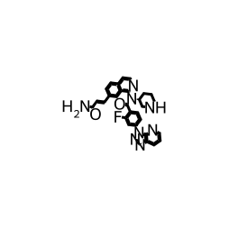 NC(=O)/C=C/c1ccc2ccnc(N(C(=O)c3ccc(-n4nnc5cccnc54)cc3F)[C@@H]3CCCNC3)c2c1